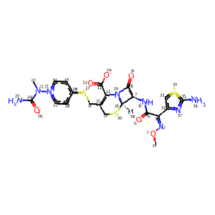 CO/N=C(\C(=O)N[C@@H]1C(=O)N2C(C(=O)[O-])=C(CSc3cc[n+](N(C)C(N)=O)cc3)CS[C@H]12)c1csc(N)n1